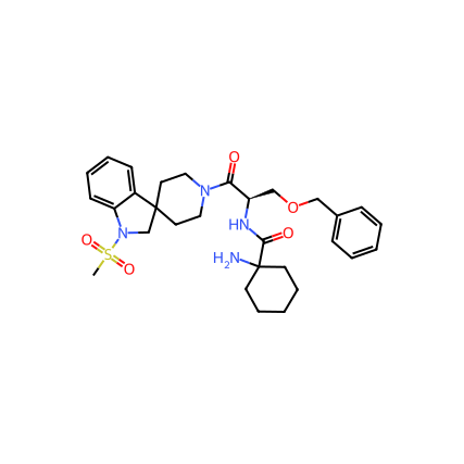 CS(=O)(=O)N1CC2(CCN(C(=O)[C@@H](COCc3ccccc3)NC(=O)C3(N)CCCCC3)CC2)c2ccccc21